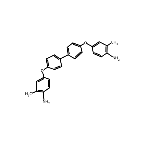 Cc1cc(Oc2ccc(-c3ccc(Oc4ccc(N)c(C)c4)cc3)cc2)ccc1N